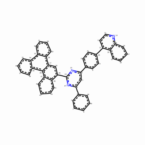 c1ccc(-c2cc(-c3ccc(-c4ccnc5ccccc45)cc3)nc(-c3cc4c5ccccc5c5ccccc5c4c4ccccc34)n2)cc1